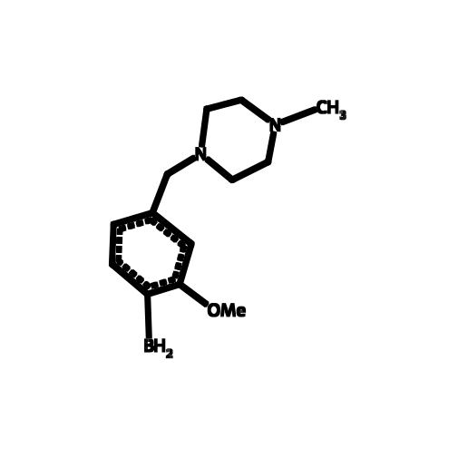 Bc1ccc(CN2CCN(C)CC2)cc1OC